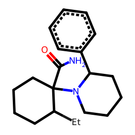 CCC1CCCCC1(C(N)=O)N1CCCCC1c1ccccc1